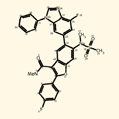 CNC(=O)c1c(-c2ccc(F)cc2)oc2cc(N(C)S(C)(=O)=O)c(-c3cc(F)c4ncn(-c5ccccc5)c4c3)cc12